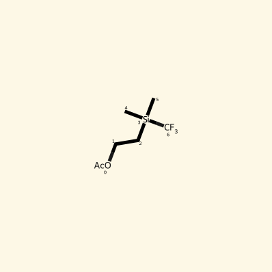 CC(=O)OCC[Si](C)(C)C(F)(F)F